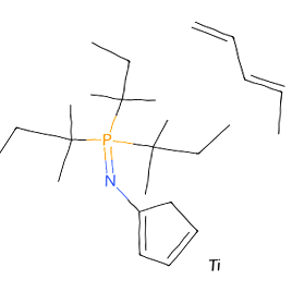 C=CC=CC.CCC(C)(C)P(=NC1=CC=CC1)(C(C)(C)CC)C(C)(C)CC.[Ti]